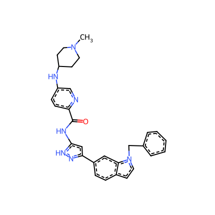 CN1CCC(Nc2ccc(C(=O)Nc3cc(-c4ccc5ccn(Cc6ccccc6)c5c4)n[nH]3)nc2)CC1